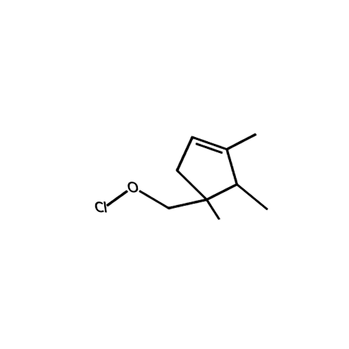 CC1=CCC(C)(COCl)C1C